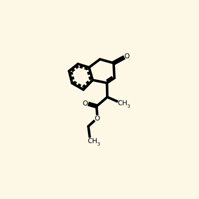 CCOC(=O)C(C)C1=CC(=O)Cc2ccccc21